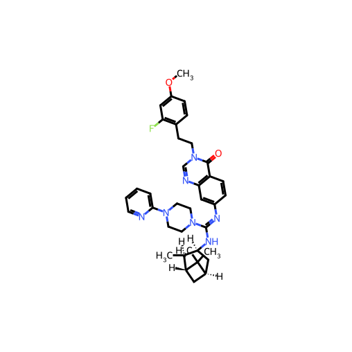 COc1ccc(CCn2cnc3cc(N=C(N[C@H]4C[C@H]5C[C@H]([C@H]4C)C5(C)C)N4CCN(c5ccccn5)CC4)ccc3c2=O)c(F)c1